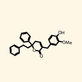 COc1cc(CC2=CCC(CCc3ccccc3)(c3ccccc3)OC2=O)ccc1O